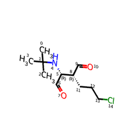 CC(C)(C)N[C@@H](C=O)[C@H](C=O)CCCCl